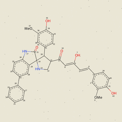 COc1cc(C=CC(O)=CC(=O)C2CNC3(C(=O)Nc4ccc(-c5ccccc5)cc43)C2c2ccc(O)c(OC)c2)ccc1O